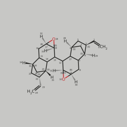 C=C[C@@H]1C[C@H]2C[C@@H]1C1C[C@H]3O[C@H]3C(C3C4C(C[C@H]5O[C@@H]35)[C@H]3C[C@@H](C=C)[C@@H]4C3)C12